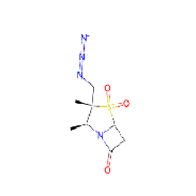 C[C@@H]1N2C(=O)CC2S(=O)(=O)[C@@]1(C)CN=[N+]=[N-]